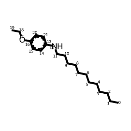 CCCCCCCCCCCCNc1ccc(OCC)cc1